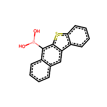 OB(O)c1c2ccccc2cc2c1sc1ccccc12